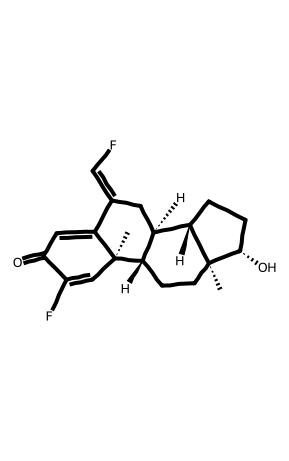 C[C@]12CC[C@H]3[C@@H](CC(=CF)C4=CC(=O)C(F)=C[C@@]43C)[C@@H]1CC[C@@H]2O